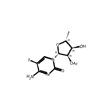 CC(=O)O[C@@H]1[C@H](O)[C@@H](C)O[C@H]1n1cc(F)c(N)nc1=O